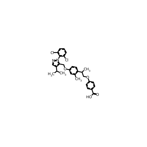 Cc1cc(OCc2c(C(C)C)cnn2-c2c(Cl)cccc2Cl)ccc1C(C)COc1ccc(C(=O)O)cc1